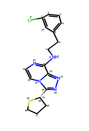 Clc1cccc(CCNc2nccn3c([C@@H]4CCCS4)nnc23)c1